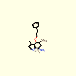 COC1=C(OCCCc2ccccc2)c2c(C)ccnc2C(N)([N+](=O)[O-])C1